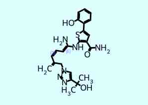 C=C(/C=C\C=C(/N)Nc1sc(-c2ccccc2O)cc1C(N)=O)Cn1cc(C(C)(C)O)nn1